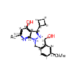 COc1ccc(Cn2nc(C3CCC3)c3c(O)cc(C(C)=O)nc32)c(CO)c1